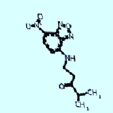 CC(C)C(=O)CCNc1ccc([N+](=O)[O-])c2nonc12